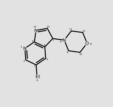 CCc1cnc2c(c1)C(N1CCOCC1)C=N2